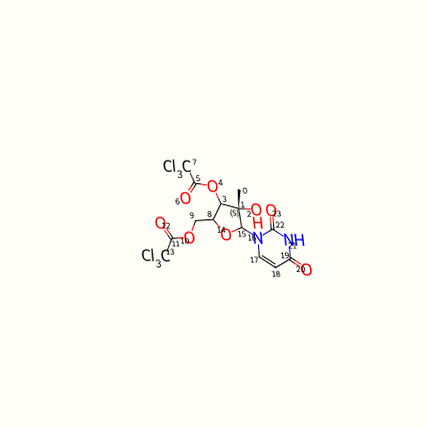 C[C@]1(O)C(OC(=O)C(Cl)(Cl)Cl)C(COC(=O)C(Cl)(Cl)Cl)OC1n1ccc(=O)[nH]c1=O